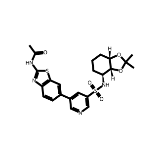 CC(=O)Nc1nc2ccc(-c3cncc(S(=O)(=O)N[C@H]4CCC[C@@H]5OC(C)(C)O[C@H]45)c3)cc2s1